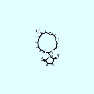 CC1CCCCCCCC(N2C(=O)C=CC2=O)CCCCC1